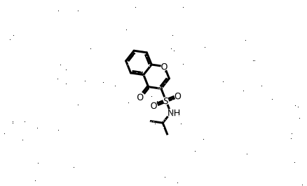 CC(C)NS(=O)(=O)c1coc2ccccc2c1=O